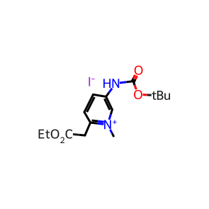 CCOC(=O)Cc1ccc(NC(=O)OC(C)(C)C)c[n+]1C.[I-]